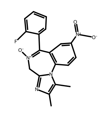 Cc1nc2n(c1C)-c1ccc([N+](=O)[O-])cc1C(c1ccccc1F)=[N+]([O-])C2